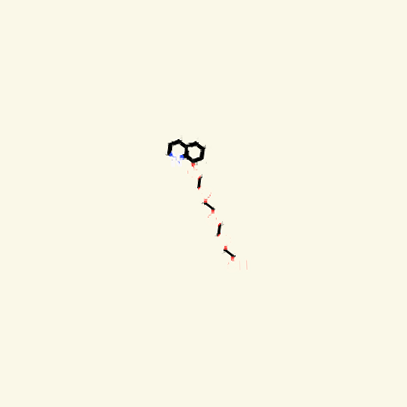 OCCOCCOCCOCCOc1cccc2cccnc12